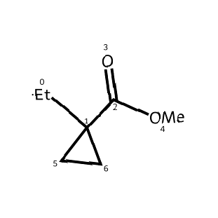 C[CH]C1(C(=O)OC)CC1